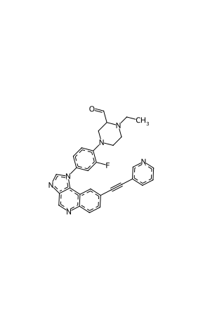 CCN1CCN(c2ccc(-n3cnc4cnc5ccc(C#Cc6cccnc6)cc5c43)cc2F)CC1C=O